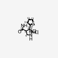 Cl.Cl.NC(=O)C1CNCC1c1cccs1